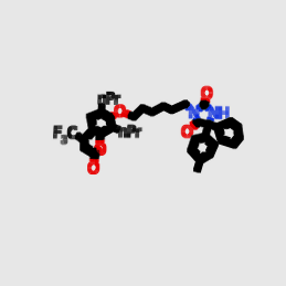 CCCc1cc2c(C(F)(F)F)cc(=O)oc2c(CCC)c1OCCCCCCN1C(=O)NC(c2ccccc2)(c2ccc(C)cc2)C1=O